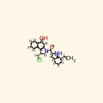 C=Cc1cccc2cc(C(=O)N3C[C@@H](CCl)c4c3cc(O)c3ccccc43)[nH]c12